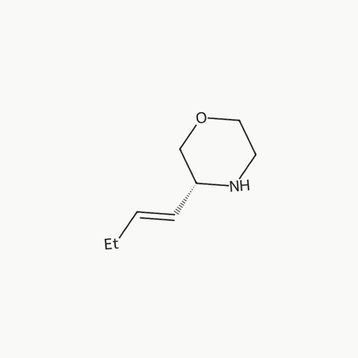 CC/C=C/[C@@H]1COCCN1